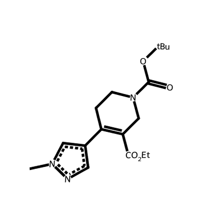 CCOC(=O)C1=C(c2cnn(C)c2)CCN(C(=O)OC(C)(C)C)C1